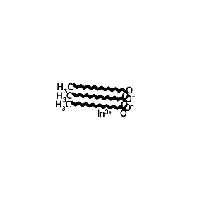 CCCCCCCCCCCCCCCCC(=O)[O-].CCCCCCCCCCCCCCCCC(=O)[O-].CCCCCCCCCCCCCCCCC(=O)[O-].[In+3]